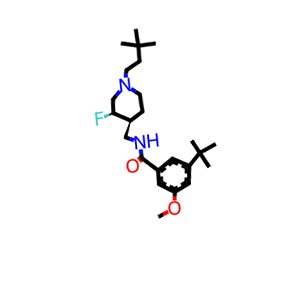 COc1cc(C(=O)NC[C@@H]2CCN(CCC(C)(C)C)C[C@@H]2F)cc(C(C)(C)C)c1